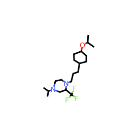 CC(C)OC1CCC(CCCN2CCN(C(C)C)CC2C(F)(F)F)CC1